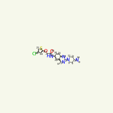 Cc1nc(N2CCC(N(C)C)CC2)nc2ccc(NC(=O)COc3cc(Cl)cs3)cc12